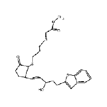 COC(=O)CSCCCSC1C(=O)CCC1C=CC(O)CCc1cc2ccccc2s1